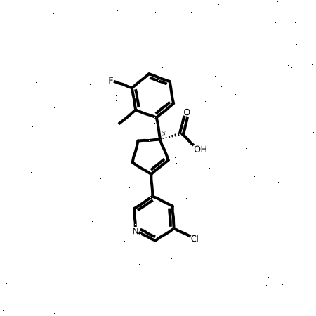 Cc1c(F)cccc1[C@@]1(C(=O)O)C=C(c2cncc(Cl)c2)CC1